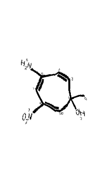 CC1(O)C=CC(N)=CC([N+](=O)[O-])=C1